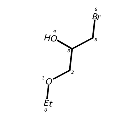 CCOCC(O)CBr